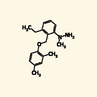 CCc1cccc(N(C)N)c1COc1ccc(C)cc1C